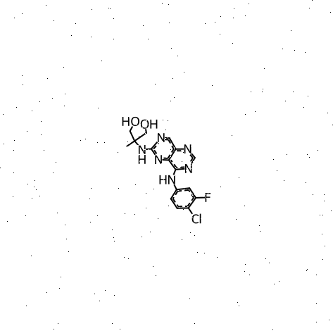 CC(CO)(CO)Nc1ncc2ncnc(Nc3ccc(Cl)c(F)c3)c2n1